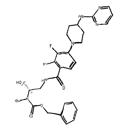 CC(C)(C)N(C(=O)OCc1ccccc1)[C@@H](CNC(=O)c1ccc(N2CCC(Nc3ncccn3)CC2)c(F)c1F)C(=O)O